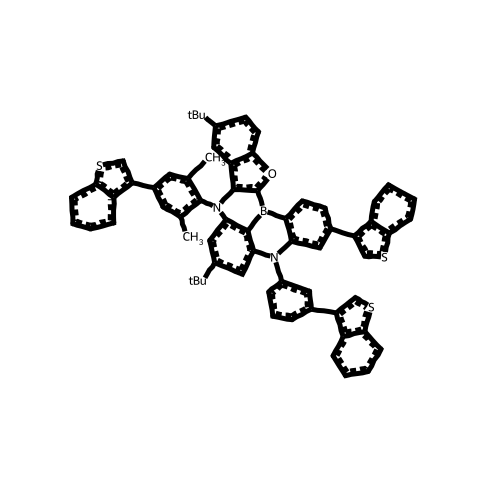 Cc1cc(-c2csc3ccccc23)cc(C)c1N1c2cc(C(C)(C)C)cc3c2B(c2ccc(-c4csc5ccccc45)cc2N3c2cccc(-c3csc4ccccc34)c2)c2oc3ccc(C(C)(C)C)cc3c21